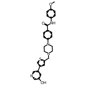 COc1ccc(NC(=O)c2ccc(N3CCN(Cc4cc(-c5cncc(O)c5)cs4)CC3)cc2)cc1